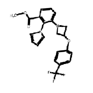 COC(=O)c1cccc(N2CC(Oc3ccc(C(F)(F)F)cc3)C2)c1-n1cccc1